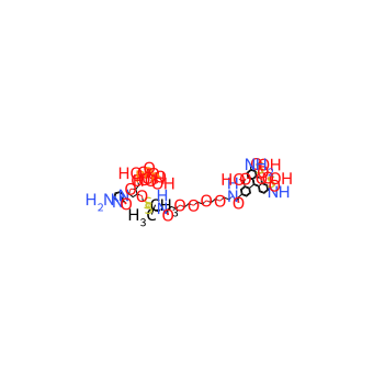 CC(C)(CNC(=O)CCOCCOCCOCCOCCNC(=O)c1ccc(-c2c3ccc(=N)c(S(=O)(=O)O)c-3oc3c(S(=O)(=O)O)c(N)ccc23)c(C(=O)O)c1)SSCOC1C[C@H](n2ccc(N)nc2=O)OC1COP(=O)(O)OP(=O)(O)OP(=O)(O)O